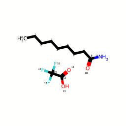 CCCCCCCCC(N)=O.O=C(O)C(F)(F)F